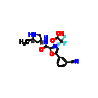 C[C@@H]1C[C@@H](NC(=O)c2ncc(-c3cccc(C#N)c3)o2)CN1.O=C(O)C(F)(F)F